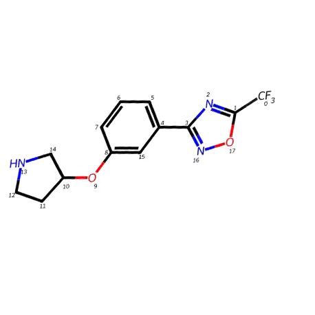 FC(F)(F)c1nc(-c2cccc(OC3CCNC3)c2)no1